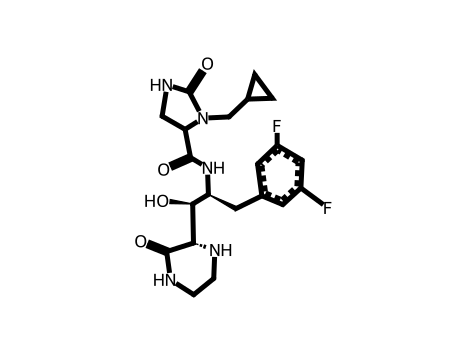 O=C(N[C@@H](Cc1cc(F)cc(F)c1)[C@H](O)[C@@H]1NCCNC1=O)C1CNC(=O)N1CC1CC1